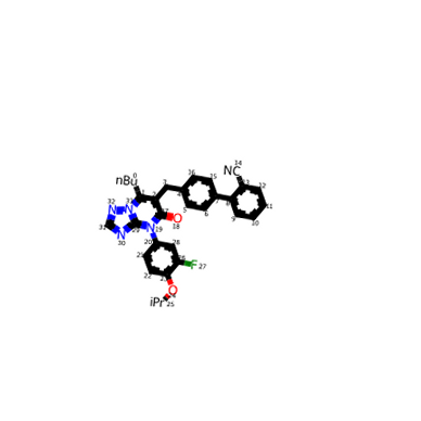 CCCCc1c(Cc2ccc(-c3ccccc3C#N)cc2)c(=O)n(-c2ccc(OC(C)C)c(F)c2)c2ncnn12